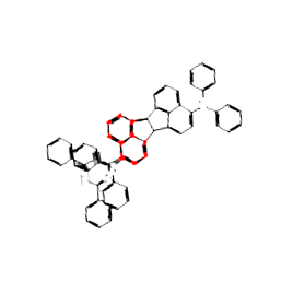 c1ccc(-c2nc(-c3ccccc3)nc(-c3ccc4c5c(cccc35)C35c6cccc7c(N(c8ccccc8)c8ccccc8)ccc(c67)C43c3ccc(N(c4ccccc4)c4ccccc4)c4cccc5c34)n2)cc1